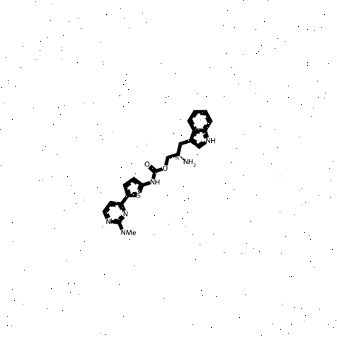 CNc1nccc(-c2ccc(NC(=O)OC[C@@H](N)Cc3c[nH]c4ccccc34)s2)n1